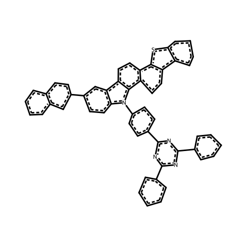 c1ccc(-c2nc(-c3ccccc3)nc(-c3ccc(-n4c5ccc(-c6ccc7ccccc7c6)cc5c5ccc6c(ccc7c8ccccc8sc76)c54)cc3)n2)cc1